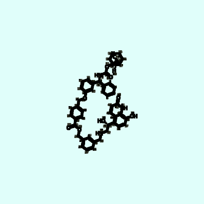 O=C(N[C@@H](c1ccccc1)c1cccc(OCc2ccc(C(=O)OCc3cccc(CNC[C@H](O)c4ccc(O)c5[nH]c(=O)ccc45)c3)cc2)c1)O[C@H]1CN2CCC1CC2